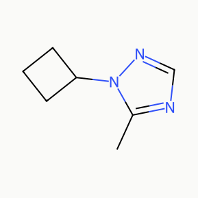 Cc1ncnn1C1CCC1